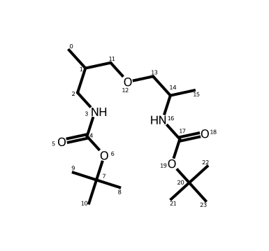 CC(CNC(=O)OC(C)(C)C)COCC(C)NC(=O)OC(C)(C)C